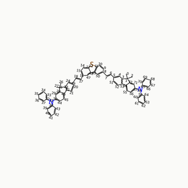 CC1(C)c2cc(/C=C/c3ccc4sc5ccc(/C=C/c6ccc7c(c6)C(C)(C)c6cc(N(c8ccccc8)c8ccccc8)ccc6-7)cc5c4c3)ccc2-c2ccc(N(c3ccccc3)c3ccccc3)cc21